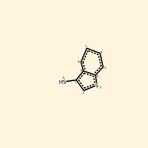 Sc1csc2ccccc12